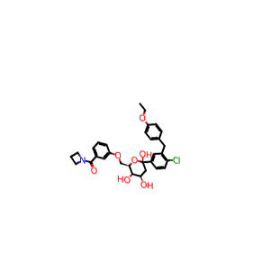 CCOc1ccc(Cc2cc([C@]3(O)C[C@@H](O)[C@@H](O)[C@@H](COc4cccc(C(=O)N5CCC5)c4)O3)ccc2Cl)cc1